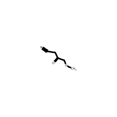 COCC(=O)CC#N